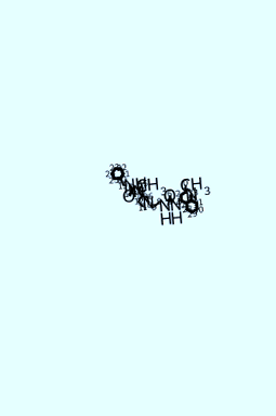 Cc1cc(NC(=O)NCCN2CCC(N(C)C(=O)NCc3ccccc3)C2)c2ccccc2n1